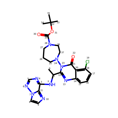 CC(Nc1ncnn2ccnc12)c1nc2cccc(Cl)c2c(=O)n1N1CCCN(C(=O)OC(C)(C)C)CC1